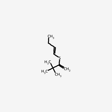 C=C(S/C=C/CC)C(C)(C)C